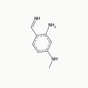 CNc1ccc(C=N)c(N)c1